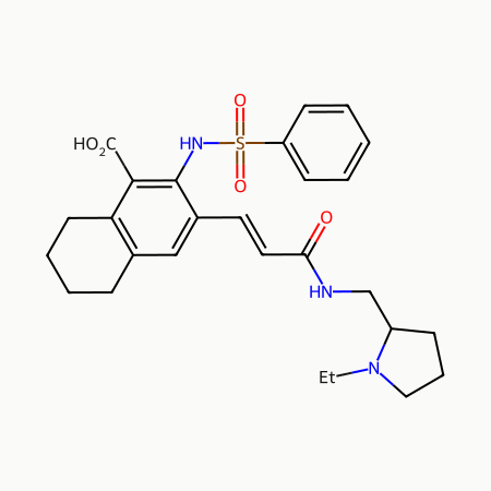 CCN1CCCC1CNC(=O)C=Cc1cc2c(c(C(=O)O)c1NS(=O)(=O)c1ccccc1)CCCC2